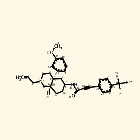 C=CCN1CC[C@@]2(c3cccc(OC)c3)C[C@@H](NC(=O)C#Cc3ccc(C(F)(F)F)cc3)CC[C@@H]2C1